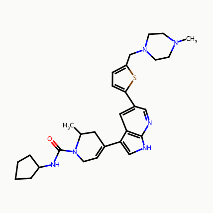 CC1CC(c2c[nH]c3ncc(-c4ccc(CN5CCN(C)CC5)s4)cc23)=CCN1C(=O)NC1CCCC1